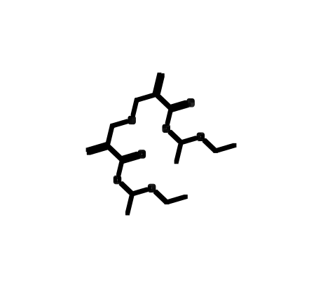 C=C(COCC(=C)C(=O)OC(C)OCC)C(=O)OC(C)OCC